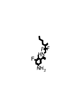 C=C(NCC(F)(F)C(=C)CCCC)c1cc(N)cc(F)c1C